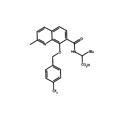 Cc1ccc2ccc(C(=O)NC(C(=O)O)C(C)(C)C)c(OCc3ccc(C(F)(F)F)cc3)c2n1